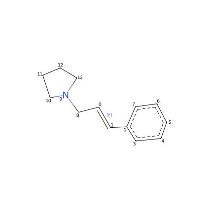 C(=C\c1ccccc1)/CN1CCCC1